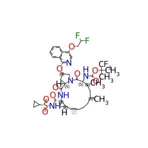 C[C@H]1CC/C=C\[C@H]2C[C@@]2(C(=O)NS(=O)(=O)C2CC2)NC(=O)[C@@H]2C[C@@H](Oc3ncc(OCC(F)F)c4ccccc34)CN2C(=O)[C@@H](NC(=O)OC(C)(C)C(F)(F)F)[C@H](C)C1